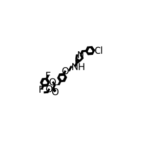 CCOC(=O)[C@H](Cc1ccc(OCCNC2C3CN(Cc4ccc(Cl)cc4)CC32)cc1)Oc1cc(F)ccc1F